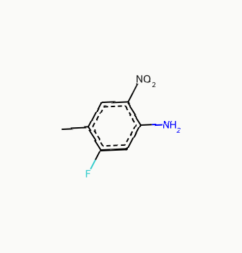 Cc1cc([N+](=O)[O-])c(N)cc1F